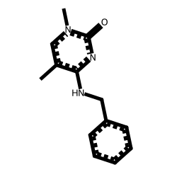 Cc1cn(C)c(=O)nc1NCc1ccccc1